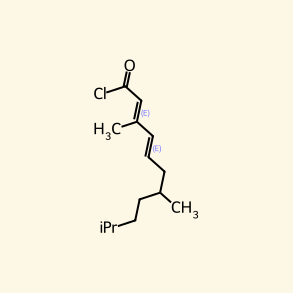 CC(/C=C/CC(C)CCC(C)C)=C\C(=O)Cl